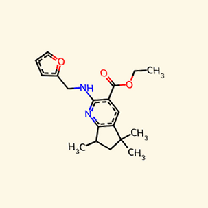 CCOC(=O)c1cc2c(nc1NCc1ccco1)C(C)CC2(C)C